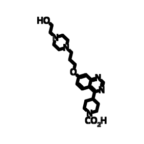 O=C(O)N1CCC(c2ncnc3cc(OCCCN4CCN(CCO)CC4)ccc23)CC1